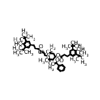 CC(C)(C)c1cc(CCC(=O)OCCN2C(C)(C)CC(OC(=O)CCc3cc(C(C)(C)C)c(O)c(C(C)(C)C)c3)(OC(=O)c3ccccc3)CC2(C)C)cc(C(C)(C)C)c1O